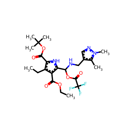 CCOC(=O)c1c(C(NCc2cnn(C)c2C)OC(=O)C(F)(F)F)[nH]c(C(=O)OC(C)(C)C)c1CC